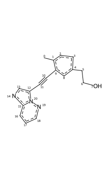 Cc1ccc(CCO)cc1C#Cc1cnc2cccnn12